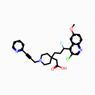 COc1ccc2ncc(Cl)c([C@H](F)CCC3(CC(=O)O)CCN(CC#Cc4ccccn4)CC3)c2c1